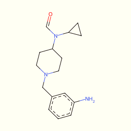 Nc1cccc(CN2CCC(N(C=O)C3CC3)CC2)c1